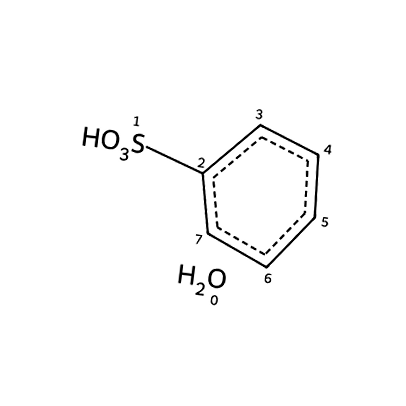 O.O=S(=O)(O)c1ccccc1